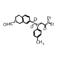 CCN(CC)C(=O)CN(c1ccc(C)cc1)S(=O)(=O)c1ccc2c(c1)CN(C=O)CC2